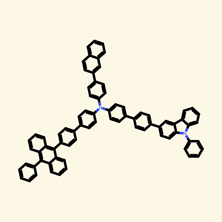 c1ccc(-c2c3ccccc3c(-c3ccc(-c4ccc(N(c5ccc(-c6ccc(-c7ccc8c(c7)c7ccccc7n8-c7ccccc7)cc6)cc5)c5ccc(-c6ccc7ccccc7c6)cc5)cc4)cc3)c3ccccc23)cc1